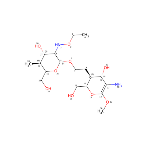 CCONC1[C@H](OCC[C@@H]2C(CO)OC(OC)=C(N)[C@H]2O)OC(CO)[C@@H](C)[C@@H]1O